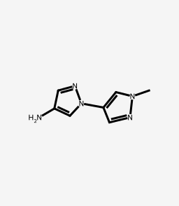 Cn1cc(-n2cc(N)cn2)cn1